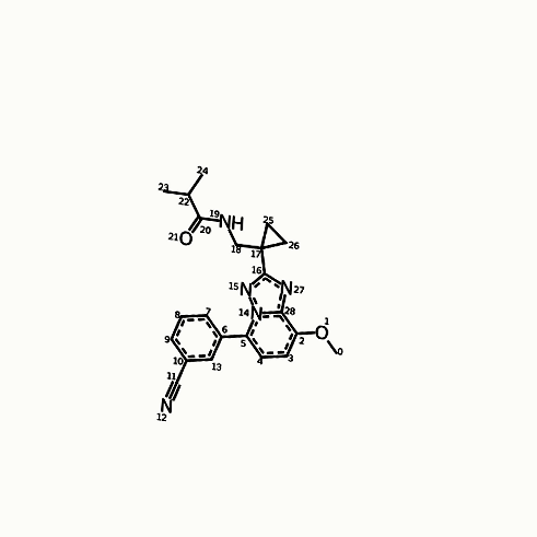 COc1ccc(-c2cccc(C#N)c2)n2nc(C3(CNC(=O)C(C)C)CC3)nc12